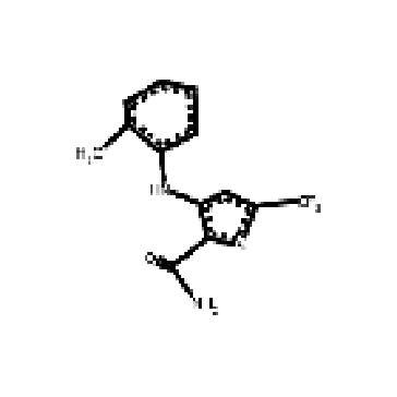 Cc1ccccc1Nc1cc(C(F)(F)F)sc1C(N)=O